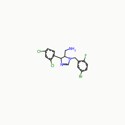 NCC1C(c2ccc(Cl)cc2Cl)N=CN1Cc1cc(Br)ccc1F